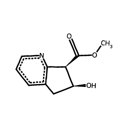 COC(=O)[C@@H]1c2ncccc2C[C@@H]1O